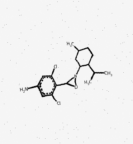 CC1CCC(C(C)C)C(N2OC2c2c(Cl)cc(N)cc2Cl)C1